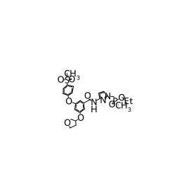 CCO[P@@](C)(=O)Cn1ccc(NC(=O)c2cc(Oc3ccc(S(C)(=O)=O)cc3)cc(OC3CCOC3)c2)n1